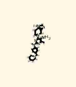 Cc1nc(N(C)c2ccc(CN3CCCCC3)cc2)nc(N2CCc3[nH]cnc3C2)c1N